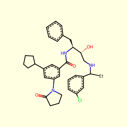 CCC(NC[C@@H](O)[C@H](Cc1ccccc1)NC(=O)c1cc(C2CCCC2)cc(N2CCCC2=O)c1)c1cccc(Cl)c1